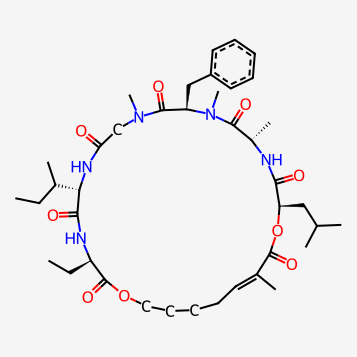 CCC(C)[C@@H]1NC(=O)CN(C)C(=O)[C@@H](Cc2ccccc2)N(C)C(=O)[C@H](C)NC(=O)[C@@H](CC(C)C)OC(=O)/C(C)=C/CCCCOC(=O)[C@@H](CC)NC1=O